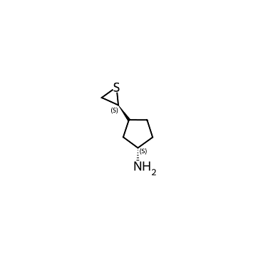 N[C@H]1CCC([C@H]2CS2)C1